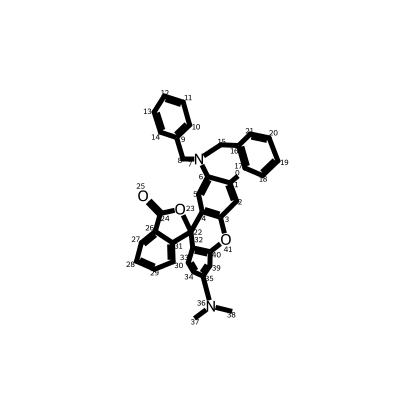 Cc1cc2c(cc1N(Cc1ccccc1)Cc1ccccc1)C1(OC(=O)c3ccccc31)c1ccc(N(C)C)cc1O2